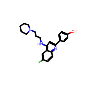 Oc1ccc(-c2cc(NCCCN3CCCCC3)c3cc(F)ccc3n2)cc1